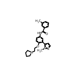 Cc1cccc(C(=O)Nc2ccc(OCCN3CCCC3)c(-c3ccnn3C)c2)c1